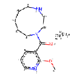 COc1ncccc1C(=O)N1CCCCCNCC1.[CH2].[CH2]